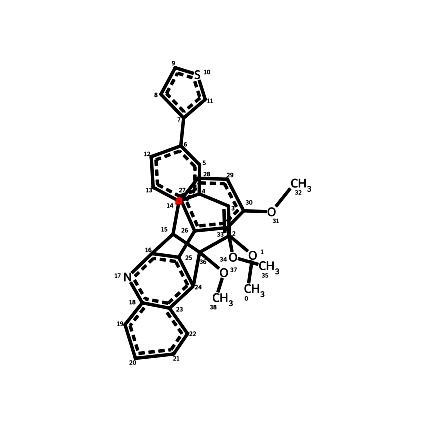 COC1=Cc2cc(-c3ccsc3)ccc2C2c3nc4ccccc4c(c3-c3cccc(OC)c3OC)C12OC